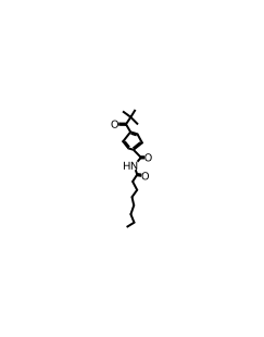 CCCCCCCC(=O)NC(=O)c1ccc(C(=O)C(C)(C)C)cc1